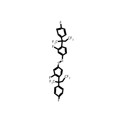 Fc1ccc(C(CC(F)(F)F)(c2ccc(SSc3ccc(C(CC(F)(F)F)(c4ccc(F)cc4)C(F)(F)F)c(F)c3)cc2F)C(F)(F)F)cc1